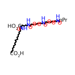 CCCC(=O)NCCOCCOCCC(=O)NCCOCCOCCC(=O)NCCCCC(NC(=O)CCCCCCCCCCCCCCCCC(=O)O)C(=O)O